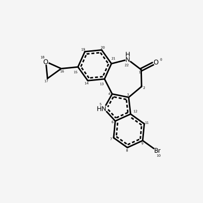 O=C1Cc2c([nH]c3ccc(Br)cc23)-c2cc(C3CO3)ccc2N1